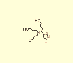 OCCCC(c1c[nH]nn1)N(CCCO)CCCO